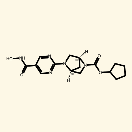 O=C(NO)c1cnc(N2C[C@@H]3C[C@H]2CN3C(=O)OC2CCCC2)nc1